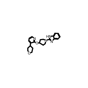 c1cnc(OC2CCN(c3nc4ccccc4[nH]3)CC2)c(C2CCOCC2)c1